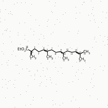 C=C(CC/C=C(\C)CC/C=C(\C)CCC=C(C)C)C(=O)OCC